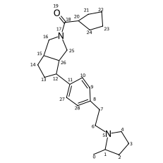 CC1CCCN1CCc1ccc(C2CCC3CN(C(=O)C4CCCC4)CC32)cc1